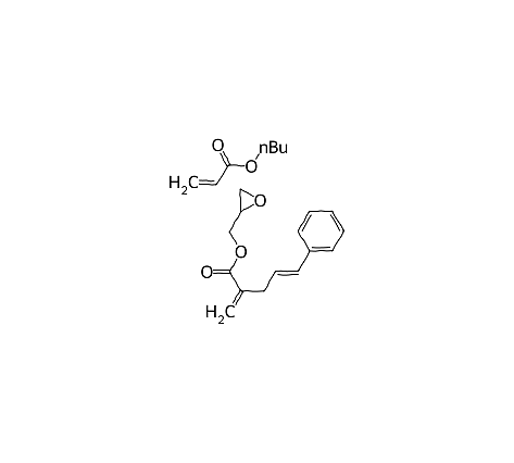 C=C(CC=Cc1ccccc1)C(=O)OCC1CO1.C=CC(=O)OCCCC